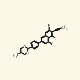 CC1COC(c2ccc(-c3cc(F)c4c(F)c(C#CC(F)(F)F)c(F)cc4c3)cc2)OC1